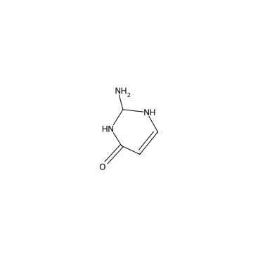 NC1NC=CC(=O)N1